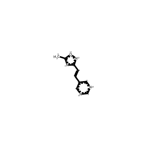 Cc1nc(C=Cc2cncnc2)no1